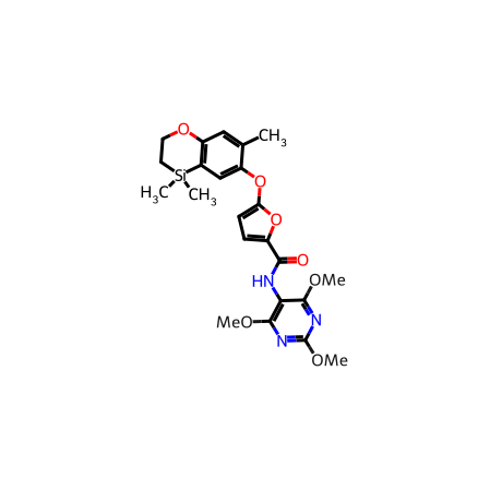 COc1nc(OC)c(NC(=O)c2ccc(Oc3cc4c(cc3C)OCC[Si]4(C)C)o2)c(OC)n1